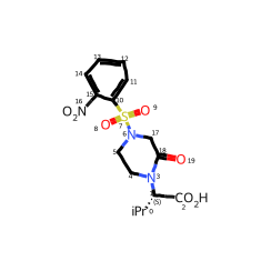 CC(C)[C@@H](C(=O)O)N1CCN(S(=O)(=O)c2ccccc2[N+](=O)[O-])CC1=O